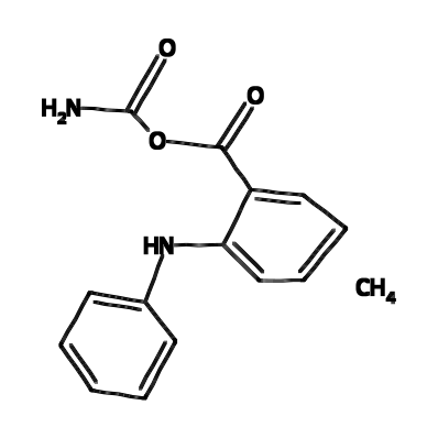 C.NC(=O)OC(=O)c1ccccc1Nc1ccccc1